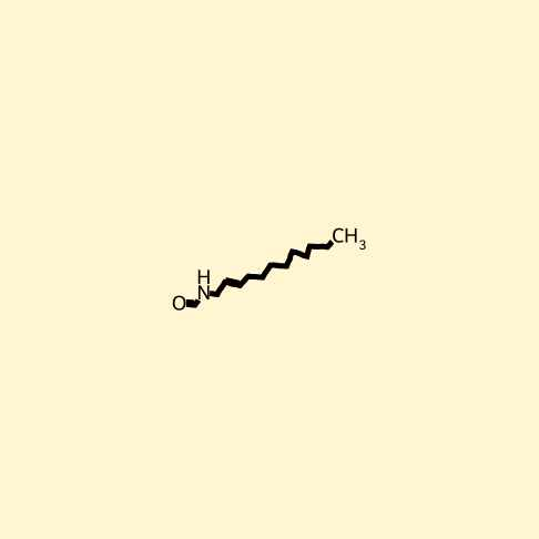 CCCCCCCCC/C=C/CNC=O